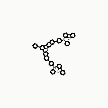 c1ccc(-c2cc3c4cc5ccc(-c6ccc(N(c7ccccc7)c7cccc8c7oc7ccccc78)cc6)cc5cc4n4c5cc6cc(-c7ccc(N(c8ccccc8)c8cccc9c8oc8ccccc89)cc7)ccc6cc5c(c2)c34)cc1